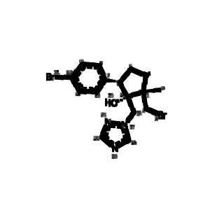 C[C@]1(CBr)CC[C@@H](c2ccc(Br)cc2)[C@]1(O)Cn1cncn1